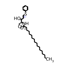 CCCCCCCCCCCCCCCCCC(=O)N[C@@H](CC)[C@H](O)/C=C/Sc1ccccc1